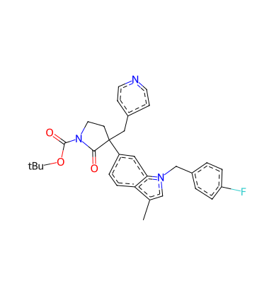 Cc1cn(Cc2ccc(F)cc2)c2cc(C3(Cc4ccncc4)CCN(C(=O)OC(C)(C)C)C3=O)ccc12